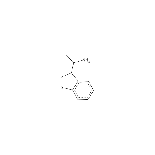 CC(N)C1CSc2ccccc21